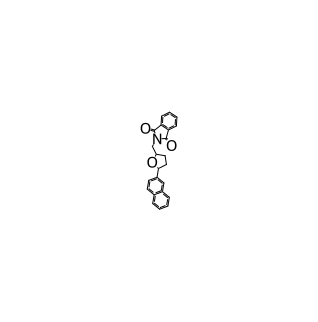 O=C1c2ccccc2C(=O)N1CC1CCC(c2ccc3ccccc3c2)O1